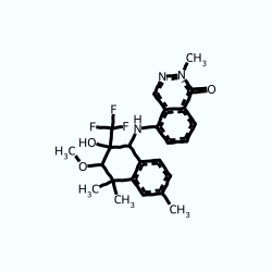 COC1C(C)(C)c2cc(C)ccc2C(Nc2cccc3c(=O)n(C)ncc23)C1(O)C(F)(F)F